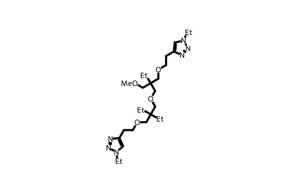 CCn1cc(CCOCC(CC)(CC)COCC(CC)(COC)COCCc2cn(CC)nn2)nn1